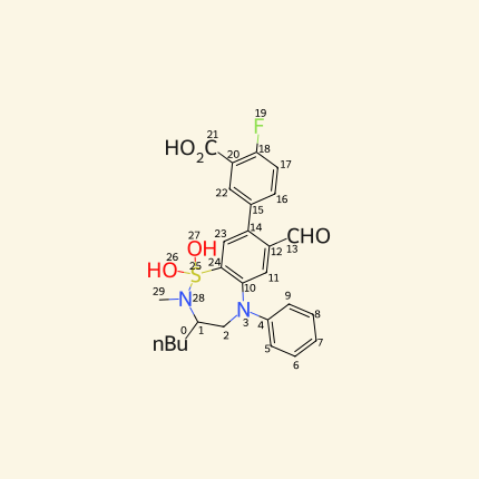 CCCCC1CN(c2ccccc2)c2cc(C=O)c(-c3ccc(F)c(C(=O)O)c3)cc2S(O)(O)N1C